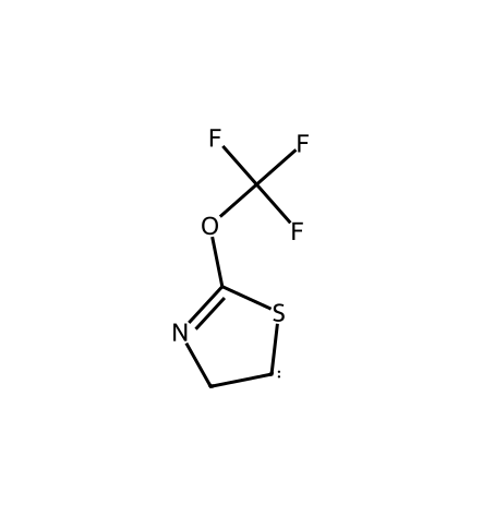 FC(F)(F)OC1=NC[C]S1